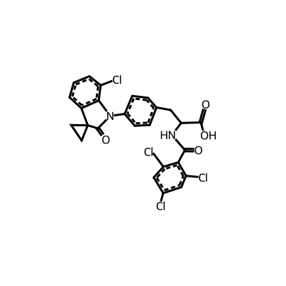 O=C(NC(Cc1ccc(N2C(=O)C3(CC3)c3cccc(Cl)c32)cc1)C(=O)O)c1c(Cl)cc(Cl)cc1Cl